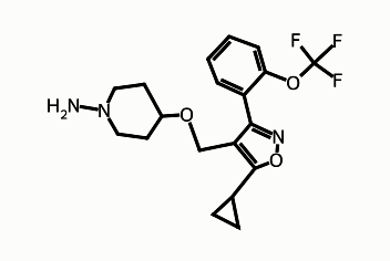 NN1CCC(OCc2c(-c3ccccc3OC(F)(F)F)noc2C2CC2)CC1